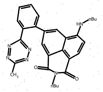 CCCCNc1ccc2c3c(cc(-c4ccccc4-c4nnc(C)nn4)cc13)C(=O)N(CCCC)C2=O